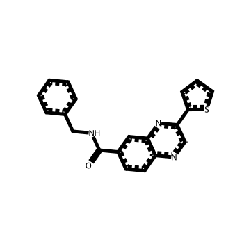 O=C(NCc1ccccc1)c1ccc2n[c]c(-c3cccs3)nc2c1